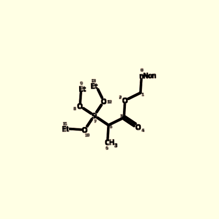 CCCCCCCCCCOC(=O)C(C)[Si](OCC)(OCC)OCC